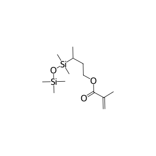 C=C(C)C(=O)OCCC(C)[Si](C)(C)O[Si](C)(C)C